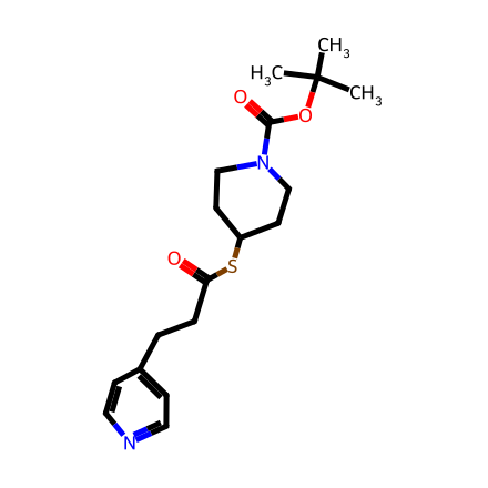 CC(C)(C)OC(=O)N1CCC(SC(=O)CCc2ccncc2)CC1